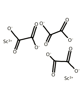 O=C([O-])C(=O)[O-].O=C([O-])C(=O)[O-].O=C([O-])C(=O)[O-].[Sc+3].[Sc+3]